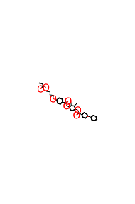 C=CC(=O)OCCCCOc1ccc(C(=O)Oc2ccc(OC(=O)c3ccc(-c4ccccc4)cc3)c(C)c2C)cc1